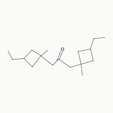 CCC1CC(C)(CC(=O)CC2(C)CC(CC)C2)C1